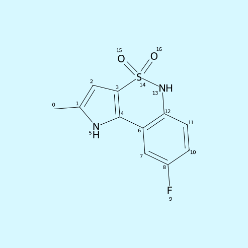 Cc1cc2c([nH]1)-c1cc(F)ccc1NS2(=O)=O